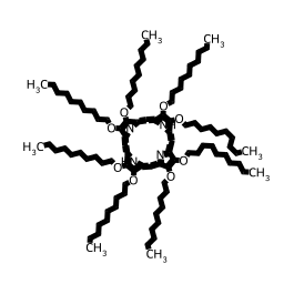 CCCCCCCCCCOC1=C(OCCCCCCCCCC)c2cc3[nH]c(cc4nc(cc5[nH]c(cc1n2)c(OCCCCCCCCCC)c5OCCCCCCCCCC)C(OCCCCCCCCCC)=C4OCCCCCCCCCC)c(OCCCCCCCCCC)c3OCCCCCCCCCC